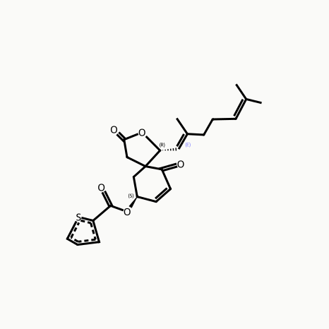 CC(C)=CCC/C(C)=C/[C@H]1OC(=O)CC12C[C@H](OC(=O)c1cccs1)C=CC2=O